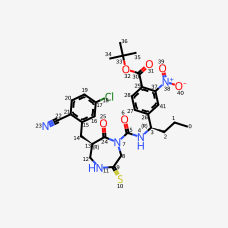 CCC[C@@H](NC(=O)N1CC(=S)NC[C@@H](Cc2cc(Cl)ccc2C#N)C1=O)c1ccc(C(=O)OC(C)(C)C)c([N+](=O)[O-])c1